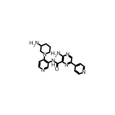 Nc1ncc(-c2ccncc2)nc1C(=O)Nc1cnccc1N1CCCC(N)C1